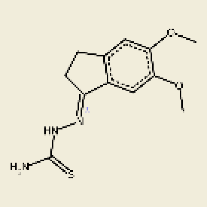 COc1cc2c(cc1OC)/C(=N/NC(N)=S)CC2